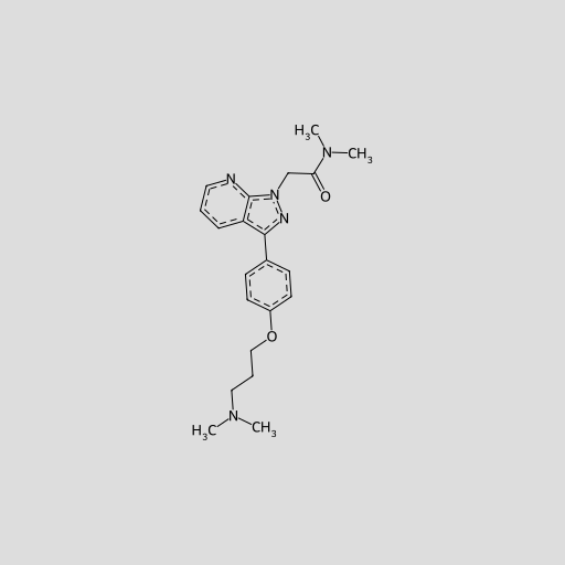 CN(C)CCCOc1ccc(-c2nn(CC(=O)N(C)C)c3ncccc23)cc1